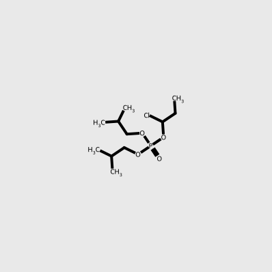 CCC(Cl)OP(=O)(OCC(C)C)OCC(C)C